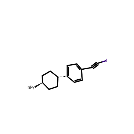 CCC[C@H]1CC[C@H](c2ccc(C#CI)cc2)CC1